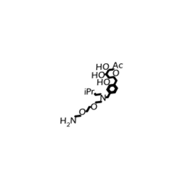 CC(=O)C1OC(Cc2ccc(CN(CCOCCOCCN)CCC(C)C)cc2)C(O)C(O)C1O